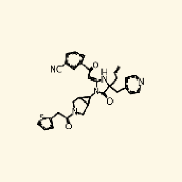 C=CCC1(Cc2ccncc2)NC(=CC(=O)c2cccc(C#N)c2)N(C2C3CN(C(=O)Cc4cccs4)CC32)C1=O